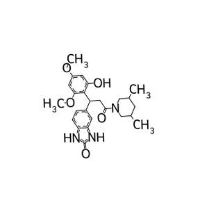 COc1cc(O)c(C(CC(=O)N2CC(C)CC(C)C2)c2ccc3[nH]c(=O)[nH]c3c2)c(OC)c1